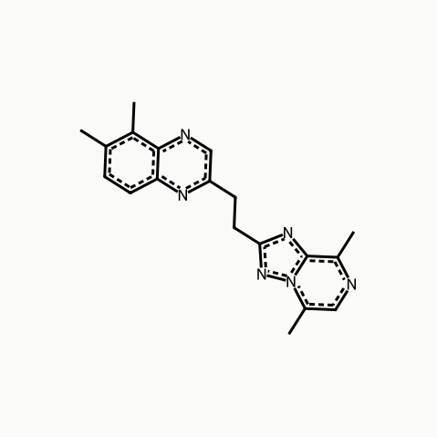 Cc1ccc2nc(CCc3nc4c(C)ncc(C)n4n3)cnc2c1C